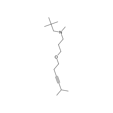 CC(C)C#CCCOCCCN(C)CC(C)(C)C